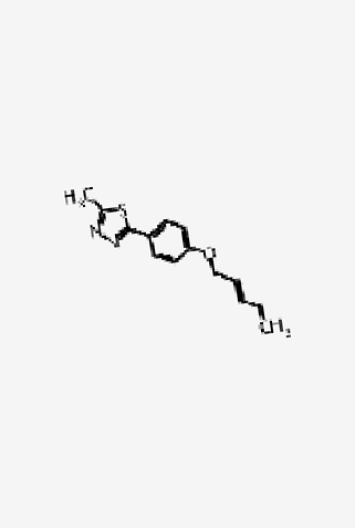 CCC=CCOc1ccc(-c2nnc(C)s2)cc1